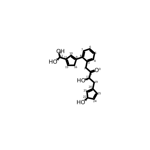 O=C(Cc1ccccc1C1=CC(C(O)O)=CC1)C(O)CC1=CC(O)C=C1